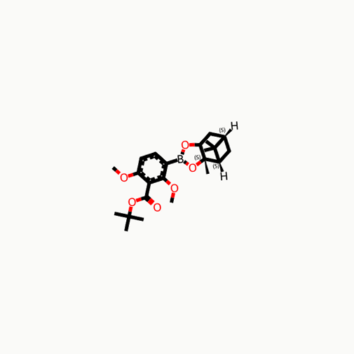 COc1ccc(B2OC3C[C@@H]4C[C@@H](C4(C)C)[C@]3(C)O2)c(OC)c1C(=O)OC(C)(C)C